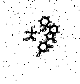 O=C(O)C(F)(F)F.O=C1CCC(N2Cc3c(cccc3C3(O)CC=NCC3)C2=O)C(=O)N1